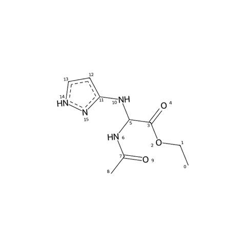 CCOC(=O)C(NC(C)=O)Nc1cc[nH]n1